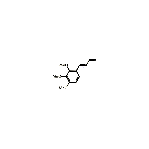 C=C/C=C/c1ccc(OC)c(OC)c1OC